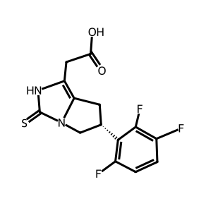 O=C(O)Cc1[nH]c(=S)n2c1C[C@H](c1c(F)ccc(F)c1F)C2